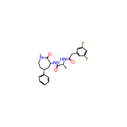 C[C@H](NC(=O)Cc1cc(F)cc(F)c1)C(=O)N[C@H]1C[C@@H](c2ccccc2)CCN(C)C1=O